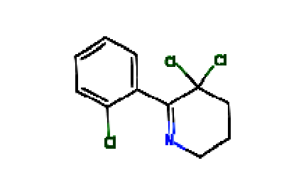 Clc1ccccc1C1=NCCCC1(Cl)Cl